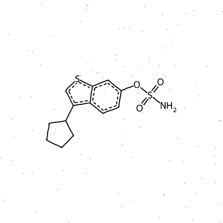 NS(=O)(=O)Oc1ccc2c(C3CCCC3)csc2c1